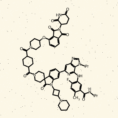 Cc1cc(F)c(Nc2nc(-c3ccc4c(c3)N(C3CC(N5CCCCC5)C3)C(=O)C43CCN(C(=O)C4CCC(C(=O)N5CCC(Oc6cccc7c6C(=O)N(C6CCC(=O)NC6=O)C7=O)CC5)CC4)CC3)cc3ncn(C(C)C)c23)cc1C(=O)NC(C)C